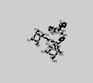 CCCC(=O)N(CCNC(=O)CC[C@@H](C(=O)O)N1CCN(CC(=O)O)CCN(CC(=O)O)CCN(CC(=O)O)CC1)C[C@H](Cc1ccc(NC(=S)N[C@H](C(=O)N[C@@H](Cc2cnc[nH]2)C(=O)NC)c2c[nH]c3ccccc23)cc1)NC(=O)CC[C@@H](C(=O)O)N1CCN(CC(=O)O)CCN(CC(=O)O)CCN(CC(=O)O)CC1